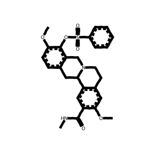 CNC(=O)c1cc2c(cc1OC)CCN1Cc3c(ccc(OC)c3OS(=O)(=O)c3ccccc3)CC21